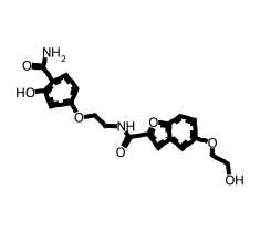 NC(=O)c1ccc(OCCNC(=O)c2cc3cc(OCCO)ccc3o2)cc1O